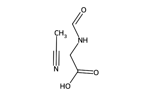 CC#N.O=CNCC(=O)O